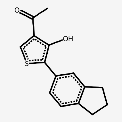 CC(=O)c1csc(-c2ccc3c(c2)CCC3)c1O